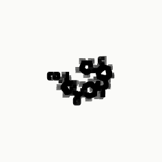 CN(Cc1ccc(Cl)c(N2CCCC2)c1)C1(C)CCN(C(=O)n2ccc(C(=O)O)n2)CC1